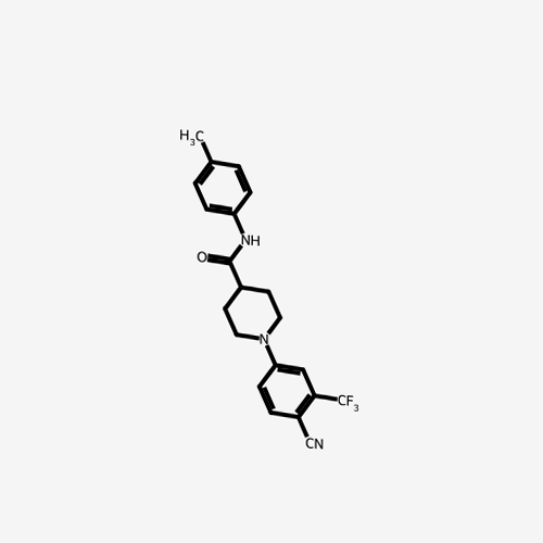 Cc1ccc(NC(=O)C2CCN(c3ccc(C#N)c(C(F)(F)F)c3)CC2)cc1